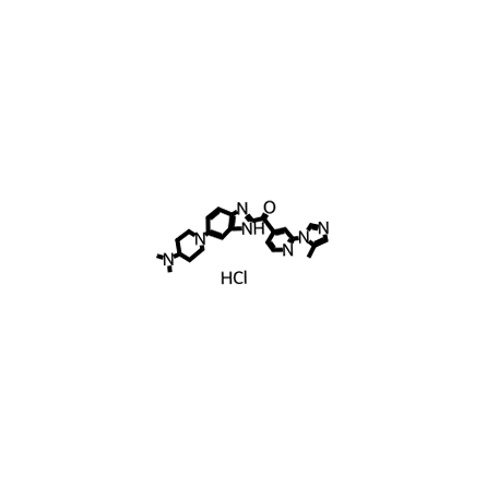 Cc1cncn1-c1cc(C(=O)c2nc3ccc(N4CCC(N(C)C)CC4)cc3[nH]2)ccn1.Cl